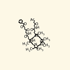 C=CC1=C(C)c2cc3[nH]c(cc4nc(cc5[nH]c(cc1n2)c(C)c5CCC(=O)NCC(=O)CCC(=O)C(=O)c1ccccc1)C(CCC(=O)NCC(=O)CCC(C)=O)=C4C)c(C)c3C=C